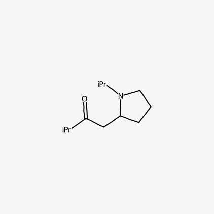 CC(C)C(=O)CC1CCCN1C(C)C